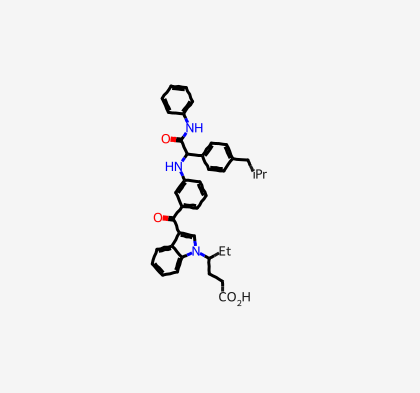 CCC(CCC(=O)O)n1cc(C(=O)c2cccc(NC(C(=O)Nc3ccccc3)c3ccc(CC(C)C)cc3)c2)c2ccccc21